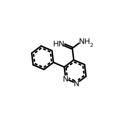 N=C(N)c1ccnnc1-c1ccccc1